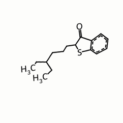 CCC(CC)CCCC1Sc2ccccc2C1=O